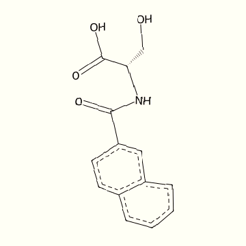 O=C(N[C@@H](CO)C(=O)O)c1ccc2ccccc2c1